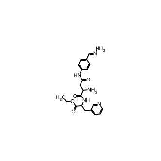 CCOC(=O)C(Cc1cccnc1)NC(=O)C(N)CC(=O)Nc1ccc(C=NN)cc1